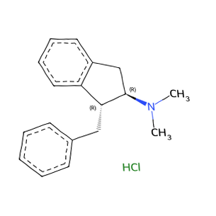 CN(C)[C@@H]1Cc2ccccc2[C@H]1Cc1ccccc1.Cl